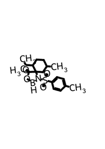 Cc1ccc(S(=O)(=O)N2BOC(=O)C23CC(C)CCC3C(C)C)cc1